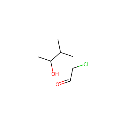 CC(C)C(C)O.O=CCCl